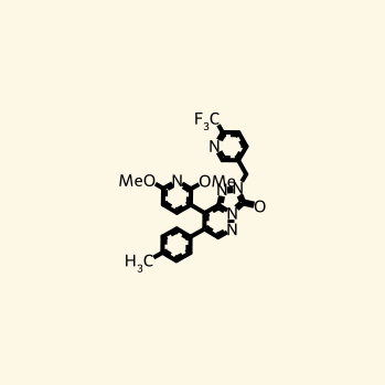 COc1ccc(-c2c(-c3ccc(C)cc3)cnn3c(=O)n(Cc4ccc(C(F)(F)F)nc4)nc23)c(OC)n1